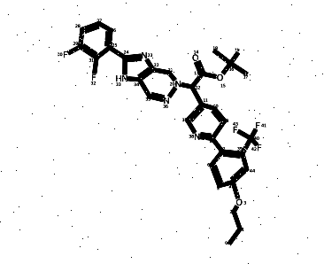 CCCOc1ccc(-c2ccc(C(C(=O)OC(C)(C)C)N3Cc4nc(-c5cccc(F)c5F)[nH]c4C=N3)cn2)c(C(F)(F)F)c1